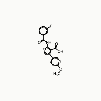 COc1ccc(-c2csc(NC(=O)c3cccc(F)c3)c2C(=O)O)cn1